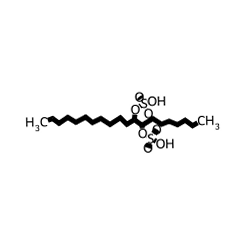 CCCCCCCCCCCC(OS(=O)(=O)O)C(CCCCCCC)OS(=O)(=O)O